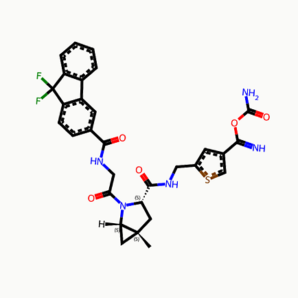 C[C@@]12C[C@@H]1N(C(=O)CNC(=O)c1ccc3c(c1)-c1ccccc1C3(F)F)[C@H](C(=O)NCc1cc(C(=N)OC(N)=O)cs1)C2